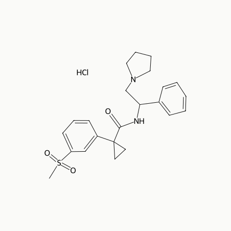 CS(=O)(=O)c1cccc(C2(C(=O)NC(CN3CCCC3)c3ccccc3)CC2)c1.Cl